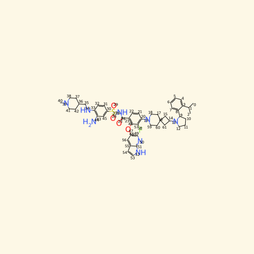 CC(C)c1ccccc1C1CCCN1C1CC2(CCN(c3ccc(C(=O)NS(=O)(=O)c4ccc(NCC5CCN(C)CC5)c(N)c4)c(Oc4cnc5[nH]ccc5c4)c3F)CC2)C1